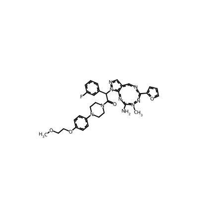 COCCOc1ccc(N2CCN(C(=O)C(c3cccc(F)c3)n3ncc4cnc(-c5ccco5)nn(C)c(N)nc43)CC2)cc1